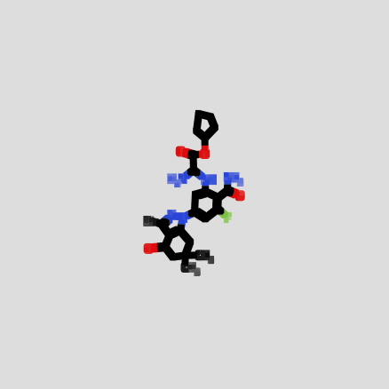 CCc1nn(-c2cc(F)c(C(N)=O)c(NC(N)C(=O)OC3CCCC3)c2)c2c1C(=O)CC(C)(C)C2